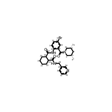 C[C@@H]1C[C@H](C)CN(C(=O)c2cc(Br)ccc2NC(=O)C2CCCCC2C(=O)NCc2cccnc2)C1